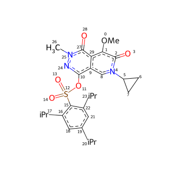 COc1c(=O)n(C2CC2)cc2c(OS(=O)(=O)c3c(C(C)C)cc(C(C)C)cc3C(C)C)nn(C)c(=O)c12